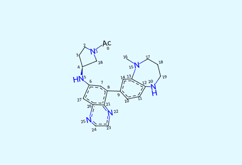 CC(=O)N1CC[C@H](Nc2cc(-c3ccc4c(c3)N(C)CCCN4)c3nccnc3c2)C1